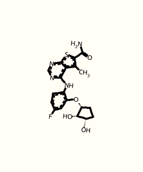 Cc1c(C(N)=O)sc2ncnc(Nc3ccc(F)cc3O[C@@H]3CC[C@H](O)[C@@H]3O)c12